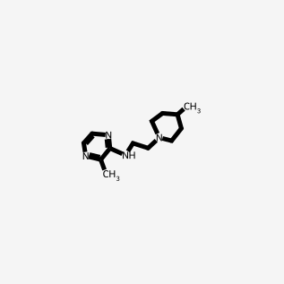 Cc1nccnc1NCCN1CCC(C)CC1